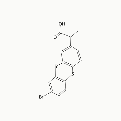 CC(C(=O)O)c1ccc2c(c1)Sc1cc(Br)ccc1S2